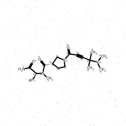 CC(C)[C@@H](C(N)=O)N(C)C(=O)[C@H]1CCN(C(=O)C#CC(C)(C)N(C)C)C1